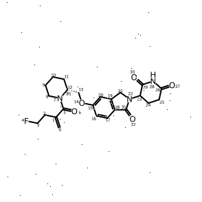 C=C(CCF)C(=O)N1CCCC[C@@H]1COc1ccc2c(c1)CN(C1CCC(=O)NC1=O)C2=O